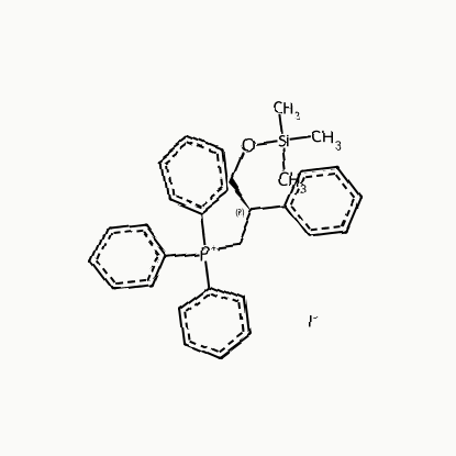 C[Si](C)(C)OC[C@H](C[P+](c1ccccc1)(c1ccccc1)c1ccccc1)c1ccccc1.[I-]